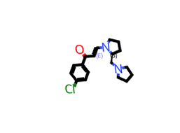 O=C(/C=C/N1CCC[C@H]1CN1CCCC1)c1ccc(Cl)cc1